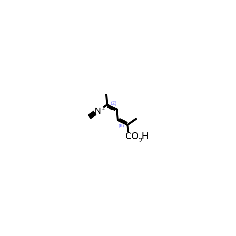 C#[N+]/C(C)=C\C=C(/C)C(=O)O